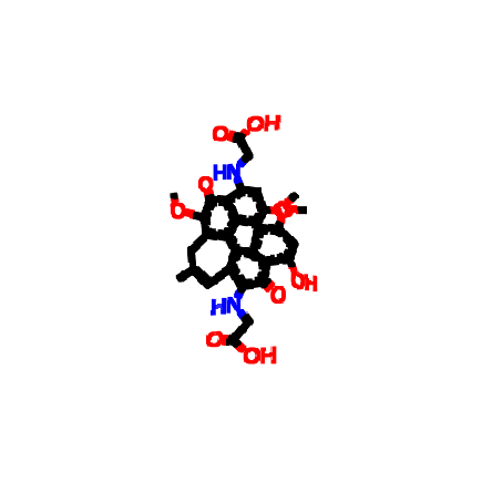 COc1c2c3c4c(c(NCC(=O)O)c(=O)c5c(O)cc(OC)c(c6c(OC)cc(NCC(=O)O)c(c1=O)c63)c54)C=C(C)C2